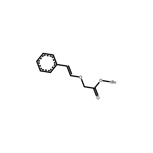 CC(C)(C)OC(=O)COC=Cc1ccccc1